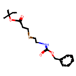 CC(C)(C)OC(=O)CCSCCNC(=O)OCc1ccccc1